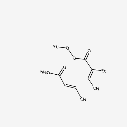 CCOOC(=O)C(=CC#N)CC.COC(=O)C=CC#N